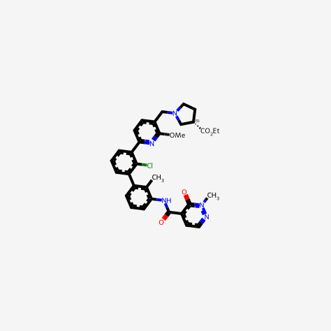 CCOC(=O)[C@H]1CCN(Cc2ccc(-c3cccc(-c4cccc(NC(=O)c5ccnn(C)c5=O)c4C)c3Cl)nc2OC)C1